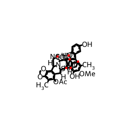 COc1c(C)cc2c(c1O)[C@@H]1N[C@H](C2)[C@H](C#N)N2C1[C@@H]1SC[C@]3(NCCc4c3[nH]c3ccc(O)cc43)C(=O)OCC[C@H]2c2c3c(c(C)c(OC(C)=O)c21)OCO3